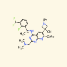 COc1nc2nc(CN(C)C)nc(N[C@H](C)c3cccc(C(F)F)c3F)c2cc1C1(C#N)CN(C(C)C)C1